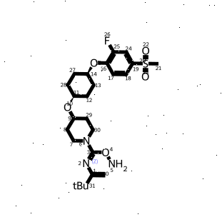 C=C(/N=C(\ON)N1CCC(O[C@H]2CC[C@H](Oc3ccc(S(C)(=O)=O)cc3F)CC2)CC1)C(C)(C)C